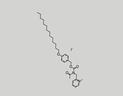 CCCCCCCCCCCCCCOc1ccc(COC(=O)N(Cc2cccc[n+]2C)C(C)=O)cc1.[I-]